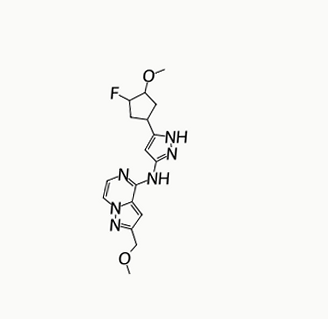 COCc1cc2c(Nc3cc(C4CC(F)C(OC)C4)[nH]n3)nccn2n1